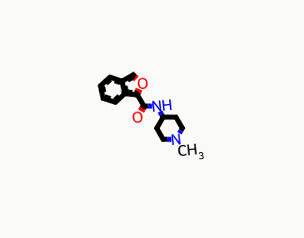 CN1CCC(NC(=O)c2occ3ccccc23)CC1